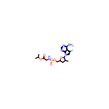 CC(C)OC(=O)CN[PH](=O)OCC1CC(C)C(n2cc(F)c3c(N)ncnc32)O1